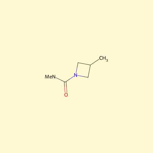 CNC(=O)N1CC(C)C1